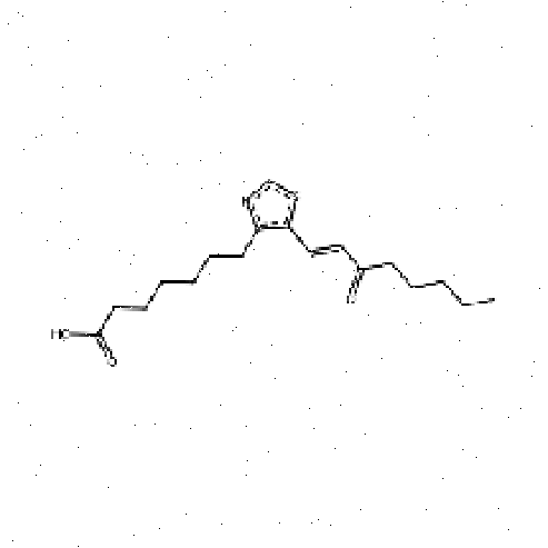 CCCCCC(=O)/C=C/c1scnc1CCCCCCC(=O)O